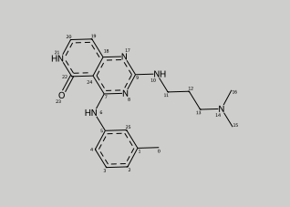 Cc1cccc(Nc2nc(NCCCN(C)C)nc3cc[nH]c(=O)c23)c1